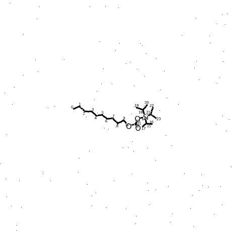 CCCCCCCCCCOC(=O)O[Si](C(C)C)(C(C)C)C(C)C